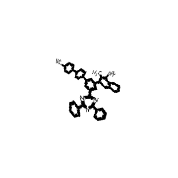 CCCc1c(C)c(-c2cc(-c3ccc(-c4ccc(C#N)cc4)cc3)cc(-c3nc(-c4ccccc4)nc(-c4ccccc4)n3)c2)cc2ccccc12